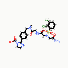 CN(Cc1ccc(C2=NCCN2C(=O)O)cc1)C(=O)CNC(=O)CN(CC(N)=O)S(=O)(=O)c1cccc(Cl)c1Cl